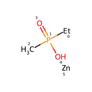 CCP(C)(=O)O.[Zn]